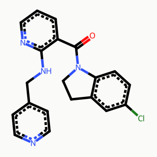 O=C(c1cccnc1NCc1ccncc1)N1CCc2cc(Cl)ccc21